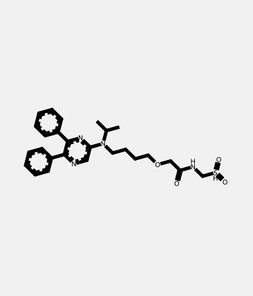 CC(C)N(CCCCOCC(=O)NC[SH](=O)=O)c1cnc(-c2ccccc2)c(-c2ccccc2)n1